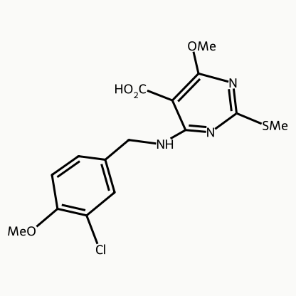 COc1ccc(CNc2nc(SC)nc(OC)c2C(=O)O)cc1Cl